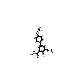 COC(=O)c1nc(-c2ccc(OC=S)cc2)cc(N)c1Cl